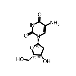 Nc1cn([C@H]2C[C@@H](O)[C@H](CO)O2)c(=O)[nH]c1=O